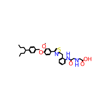 CCCC(CCC)c1ccc(COc2ccc(-c3csc(Cc4ccccc4NC(=O)CNCC(=O)O)n3)cc2OC)cc1